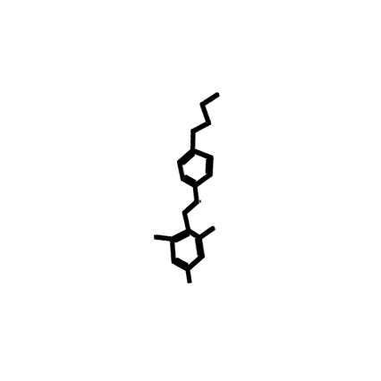 CCCCc1ccc([CH]Cc2c(C)cc(C)cc2C)cc1